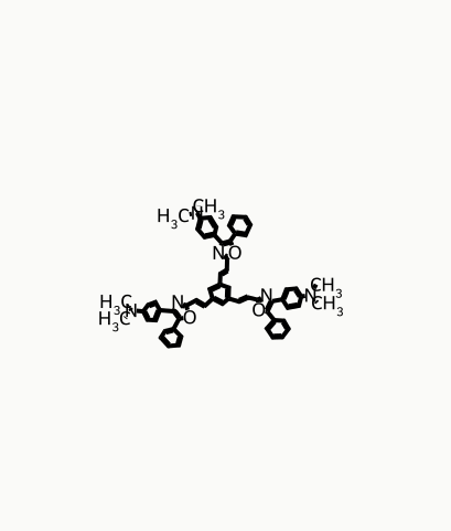 CN(C)c1ccc(-c2nc(C=Cc3cc(/C=C/c4nc(-c5ccc(N(C)C)cc5)c(-c5ccccc5)o4)cc(/C=C/c4nc(-c5ccc(N(C)C)cc5)c(-c5ccccc5)o4)c3)oc2-c2ccccc2)cc1